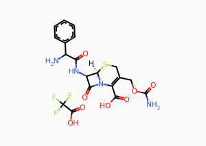 NC(=O)OCC1=C(C(=O)O)N2C(=O)[C@@H](NC(=O)C(N)c3ccccc3)[C@H]2SC1.O=C(O)C(F)(F)F